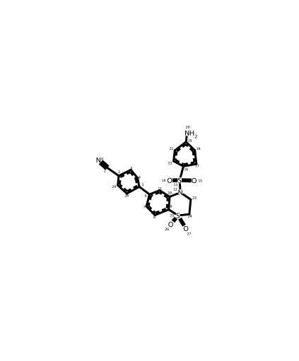 N#Cc1ccc(-c2ccc3c(c2)N(S(=O)(=O)c2ccc(N)cc2)CCS3(=O)=O)cc1